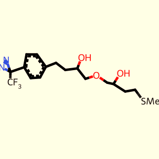 CSCCC(O)COCC(O)CCc1ccc(C2(C(F)(F)F)N=N2)cc1